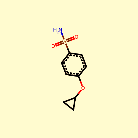 NS(=O)(=O)c1ccc(OC2CC2)cc1